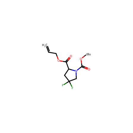 C=CCOC(=O)C1CC(F)(F)CN1C(=O)OC(C)(C)C